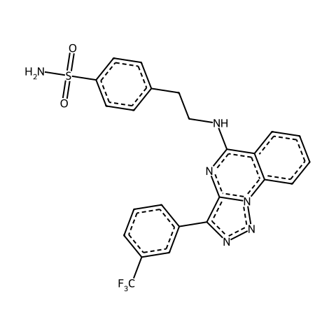 NS(=O)(=O)c1ccc(CCNc2nc3c(-c4cccc(C(F)(F)F)c4)nnn3c3ccccc23)cc1